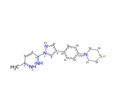 CC(=N)/C=C\C(=N)n1cc(-c2ccc(N3CCSCC3)cc2)cn1